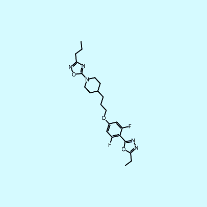 CCCc1noc(N2CCC(CCCOc3cc(F)c(-c4nnc(CC)o4)c(F)c3)CC2)n1